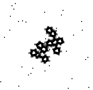 c1ccc(-c2c3ccccc3c(-c3ccc4ccccc4c3)c3ccc(-c4ccc(-n5c(-c6ccccc6)nc6ccccc65)c5ccccc45)cc23)cc1